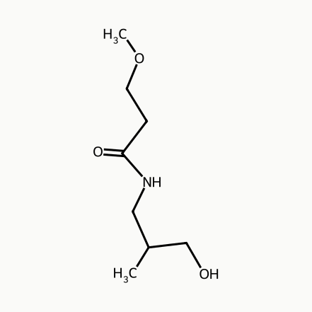 COCCC(=O)NCC(C)CO